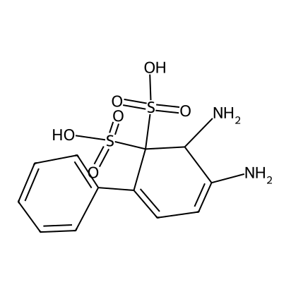 NC1=CC=C(c2ccccc2)C(S(=O)(=O)O)(S(=O)(=O)O)C1N